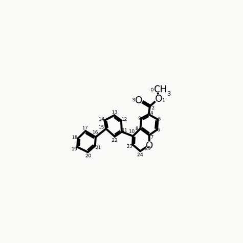 COC(=O)c1ccc2c(c1)C(c1cccc(-c3ccccc3)c1)=CCO2